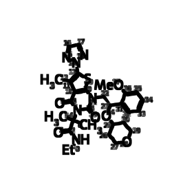 CCNC(=O)C(C)(C)n1c(=O)c2c(C)c(-n3nccn3)sc2n(C[C@H](OC2CCOCC2)c2ccccc2OC)c1=O